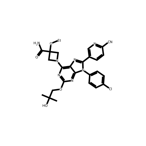 CCOC1(C(N)=O)CN(c2nc(OCC(C)(C)O)nc3c2nc(-c2ccc(C#N)nc2)n3-c2ccc(Cl)cc2)C1